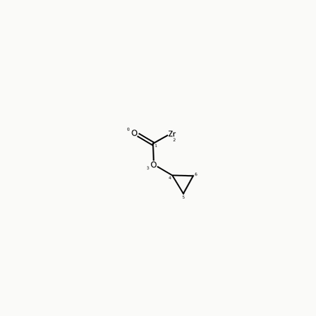 O=[C]([Zr])OC1CC1